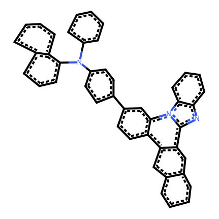 c1ccc(N(c2ccc(-c3ccc4c5cc6ccccc6cc5c5nc6ccccc6n5c4c3)cc2)c2cccc3ccccc23)cc1